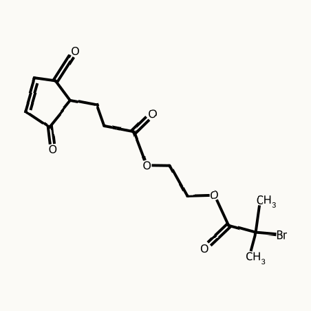 CC(C)(Br)C(=O)OCCOC(=O)CCC1C(=O)C=CC1=O